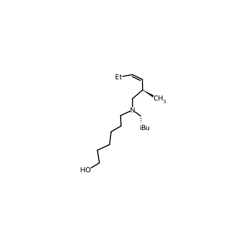 CC/C=C\[C@@H](C)CN(CCCCCCO)C[C@@H](C)CC